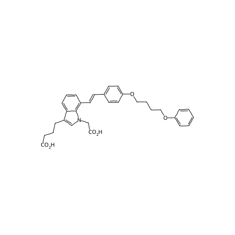 O=C(O)CCCc1cn(CC(=O)O)c2c(C=Cc3ccc(OCCCCOc4ccccc4)cc3)cccc12